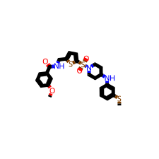 COc1cccc(C(=O)NCc2ccc(S(=O)(=O)N3CCC(Nc4cccc(SC)c4)CC3)s2)c1